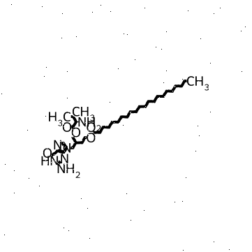 CCCCCCCCCCCCCCCCCCCCCC(=O)OCCC(COC(=O)[C@@H](N)C(C)C)Cn1cnc2c(=O)[nH]c(N)nc21